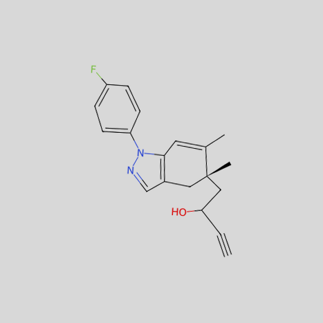 C#CC(O)C[C@]1(C)Cc2cnn(-c3ccc(F)cc3)c2C=C1C